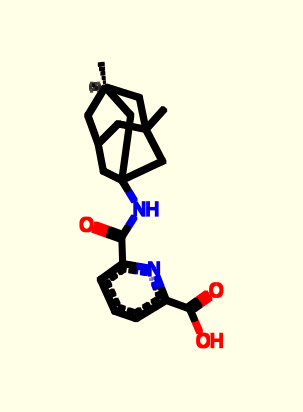 CC12CC3CC(NC(=O)c4cccc(C(=O)O)n4)(C1)C[C@@](C)(C3)C2